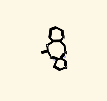 C=C1/N=c2/ccnc/c2=N/CC2=C(C=C=CC=N2)O1